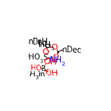 CCCCCCCCCCC(=O)OC(=O)CCCCCCCCCC.NS(=O)(=O)O.OB(O)O.[InH3].[InH3].[InH3]